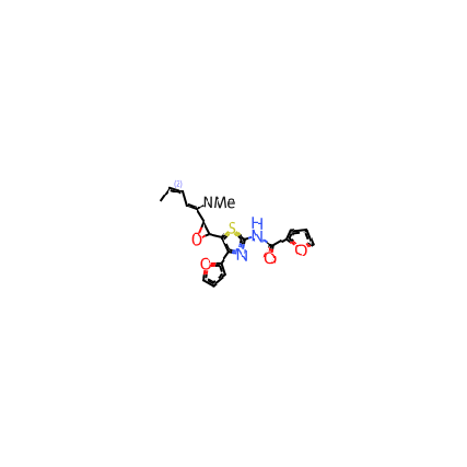 C/C=C\C=C(NC)C1OC1c1sc(NC(=O)c2ccco2)nc1-c1ccco1